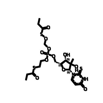 CCC(=O)SCCOP(=O)(OCOSC(=O)CC)OC[C@H]1O[C@@H](n2ccc(=O)[nH]c2=S)C(C)(O)[C@H]1O